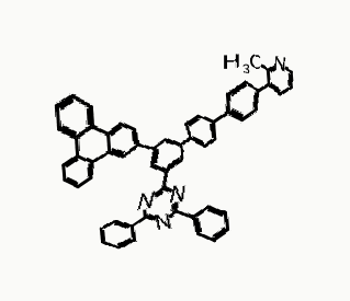 Cc1ncccc1-c1ccc(-c2ccc(-c3cc(-c4ccc5c6ccccc6c6ccccc6c5c4)cc(-c4nc(-c5ccccc5)nc(-c5ccccc5)n4)c3)cc2)cc1